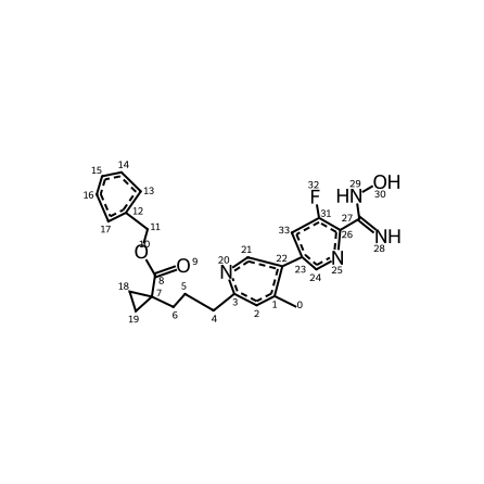 Cc1cc(CCCC2(C(=O)OCc3ccccc3)CC2)ncc1-c1cnc(C(=N)NO)c(F)c1